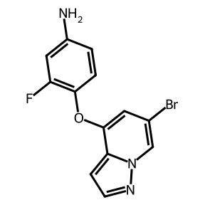 Nc1ccc(Oc2cc(Br)cn3nccc23)c(F)c1